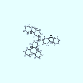 c1ccc2c(c1)oc1cc(N(c3ccc4sc5ccccc5c4c3)c3ccc4c5ccccc5c5ccccc5c4c3)ccc12